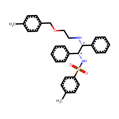 Cc1ccc(COCCN[C@H](c2ccccc2)[C@H](NS(=O)(=O)c2ccc(C)cc2)c2ccccc2)cc1